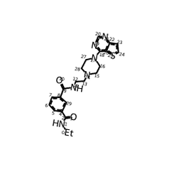 CCNC(=O)c1cccc(C(=O)NCCN2CCN(c3ncnc4ccsc34)CC2)c1